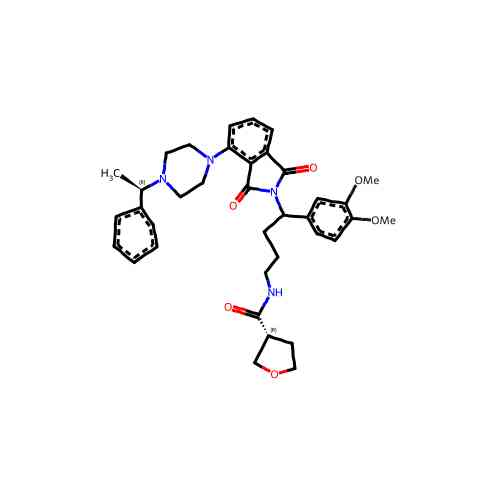 COc1ccc(C(CCCNC(=O)[C@@H]2CCOC2)N2C(=O)c3cccc(N4CCN([C@H](C)c5ccccc5)CC4)c3C2=O)cc1OC